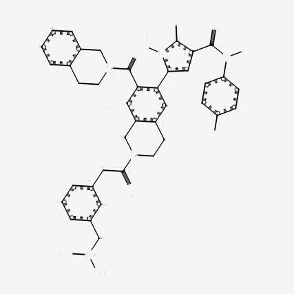 Cc1c(C(=O)N(C)c2ccc(O)cc2)cc(-c2cc3c(cc2C(=O)N2Cc4ccccc4C[C@H]2C)CN(C(=O)Cc2cccc(CN(C)C)c2)CC3)n1C